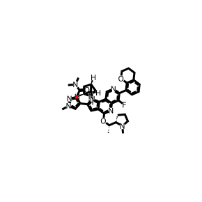 C[C@H](Oc1nc2c(F)c(-c3cccc4c3OCCC4)ncc2c2c1cc(-c1cn(C)nc1C(=O)N(C)C)n2[C@H]1[C@H]2CN[C@@H]1C2)[C@@H]1CCCN1C